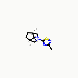 Cc1nsc(N2C[C@H]3CC[C@@H](C2)[C@@H]3N)n1